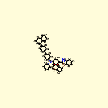 c1cc2ccc(-c3ccccc3N(c3ccc(-c4ccc(-c5cccc6ccccc56)cc4)cc3)c3ccc(-c4nc5ccccc5s4)cc3)sc-2c1